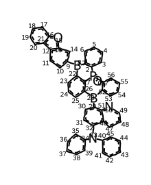 O=P12c3ccccc3B(c3ccc4c(c3)oc3ccccc34)c3cccc(c31)B(c1ccc(N(c3ccccc3)c3ccccc3)c3cccnc13)c1ccccc12